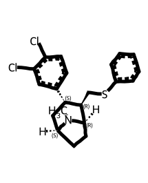 CN1[C@H]2CC[C@@H]1[C@H](CSc1ccccc1)[C@@H](c1ccc(Cl)c(Cl)c1)C2